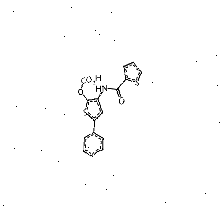 O=C(O)Oc1sc(-c2ccccc2)cc1NC(=O)c1cccs1